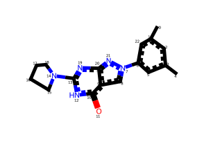 Cc1cc(C)cc(-n2cc3c(=O)[nH]c(N4CCCC4)nc3n2)c1